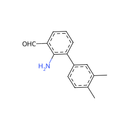 Cc1ccc(-c2cccc(C=O)c2N)cc1C